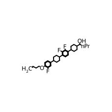 C=CCCOc1ccc(C2CCC(c3ccc(C4CCC(C(O)CCC)CC4)c(F)c3F)CC2)cc1F